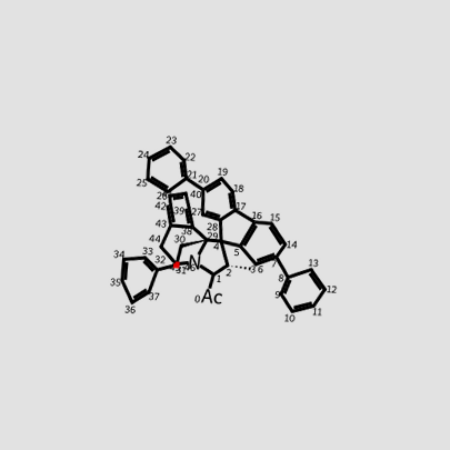 CC(=O)C1[C@@H](C)C2(c3cc(-c4ccccc4)ccc3-c3ccc(-c4ccccc4)cc32)[C@@]2(CCc3ccccc3)c3ccccc3CCN12